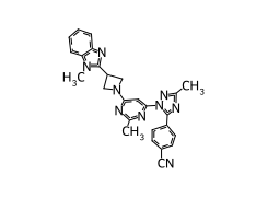 Cc1nc(N2CC(c3nc4ccccc4n3C)C2)cc(-n2nc(C)nc2-c2ccc(C#N)cc2)n1